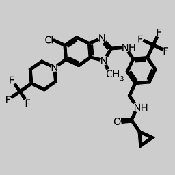 Cn1c(Nc2cc(CNC(=O)C3CC3)ccc2C(F)(F)F)nc2cc(Cl)c(N3CCC(C(F)(F)F)CC3)cc21